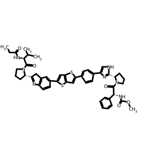 CCC(=O)N[C@H](C(=O)N1CCC[C@H]1C1=Nc2ccc(-c3cc4sc(-c5ccc(-c6c[nH]c([C@@H]7CCCN7C(=O)[C@H](NC(=O)OC)c7ccccc7)n6)cc5)cc4s3)cc2C1)C(C)C